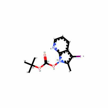 Cc1c(I)c2cccnc2n1OC(=O)OC(C)(C)C